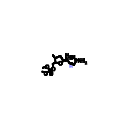 COP(=O)(OC)OCC1OC(N/C=C\C(=N)N)CC1C